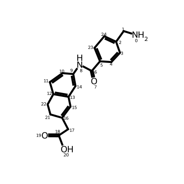 NCc1ccc(C(=O)Nc2ccc3c(c2)C=C(CC(=O)O)CC3)cc1